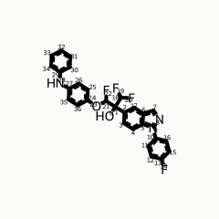 OC(c1ccc2c(cnn2-c2ccc(F)cc2)c1)(C(F)F)C(F)Oc1ccc(Nc2ccccc2)cc1